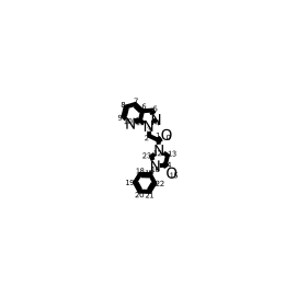 O=C(Cn1ncc2cccnc21)N1CC(=O)N(c2ccccc2)C1